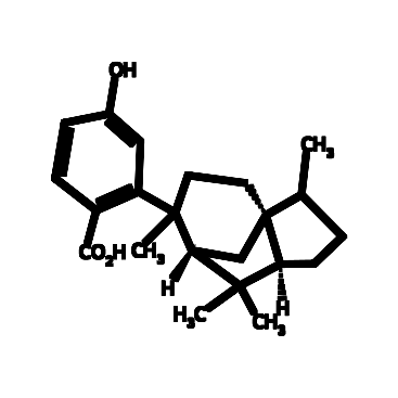 CC1CC[C@H]2C(C)(C)[C@H]3C[C@@]12CCC3(C)c1cc(O)ccc1C(=O)O